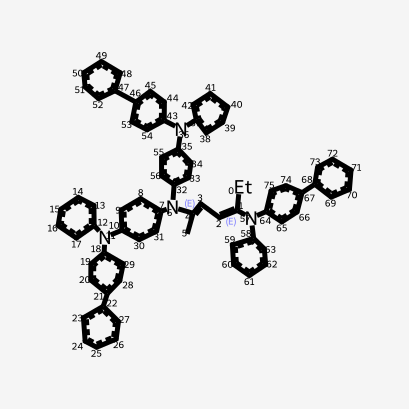 CC/C(=C\C=C(/C)N(c1ccc(N(c2ccccc2)c2ccc(-c3ccccc3)cc2)cc1)c1ccc(N(c2ccccc2)c2ccc(-c3ccccc3)cc2)cc1)N(c1ccccc1)c1ccc(-c2ccccc2)cc1